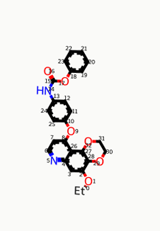 CCOc1cc2nccc(Oc3ccc(NC(=O)Oc4ccccc4)cc3)c2c2c1OCCO2